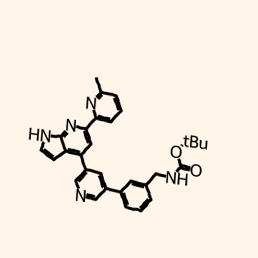 Cc1cccc(-c2cc(-c3cncc(-c4cccc(CNC(=O)OC(C)(C)C)c4)c3)c3cc[nH]c3n2)n1